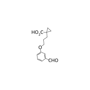 O=Cc1cccc(OCCCC2(C(=O)O)CC2)c1